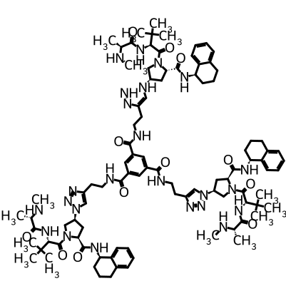 CN[C@@H](C)C(=O)N[C@H](C(=O)N1C[C@@H](N/C=C(/CCNC(=O)c2cc(C(=O)NCCc3cn([C@H]4C[C@@H](C(=O)N[C@@H]5CCCc6ccccc65)N(C(=O)[C@@H](NC(=O)[C@H](C)NC)C(C)(C)C)C4)nn3)cc(C(=O)NCCc3cn([C@H]4C[C@@H](C(=O)N[C@@H]5CCCc6ccccc65)N(C(=O)[C@@H](NC(=O)[C@H](C)NC)C(C)(C)C)C4)nn3)c2)N=N)C[C@H]1C(=O)N[C@@H]1CCCc2ccccc21)C(C)(C)C